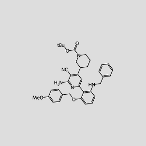 COc1ccc(COc2cccc(NCc3ccccc3)c2-c2cc(C3CCCN(C(=O)OC(C)(C)C)C3)c(C#N)c(N)n2)cc1